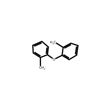 [CH2]c1ccccc1Oc1ccccc1C